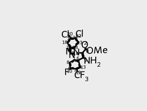 COC(=O)/C(=C(\N)c1ccc(F)c(C(F)(F)F)c1)n1nnc2cc(Cl)c(Cl)cc21